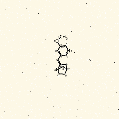 COc1cncc(C=C2CC3CCN2C3)c1